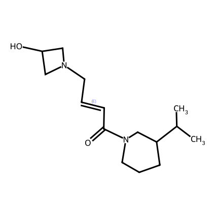 CC(C)C1CCCN(C(=O)/C=C/CN2CC(O)C2)C1